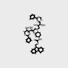 O=C(N[C@H]1CC[C@@H](N(C[C@H](O)[C@@H](O)[C@H]2CCOC(c3ccccc3)O2)C[C@H](O)[C@@H](O)C2OC(c3ccccc3)OC[C@H]2O)CC1)OCC1c2ccccc2-c2ccccc21